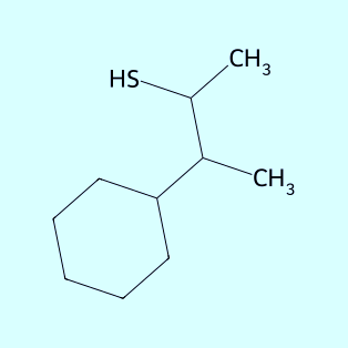 CC(S)C(C)C1CCCCC1